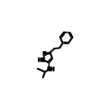 CC(C)Nc1cc(CCc2ccccc2)n[nH]1